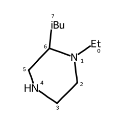 [CH2]CN1CCNCC1C(C)CC